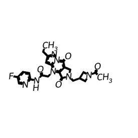 CCc1cc2n(CC(=O)Nc3ccc(F)cn3)c3c(c(=O)n2n1)CN(CC1CN(C(C)=O)C1)C3=O